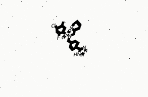 Cc1cc(S(=O)(=O)N(Cc2ccc(-c3nnn[nH]3)cc2)Cc2ccccn2)c(F)cc1Cl